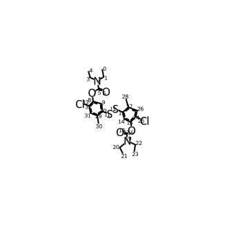 CCN(CC)C(=O)Oc1cc(SSc2cc(OC(=O)N(CC)CC)c(Cl)cc2C)c(C)cc1Cl